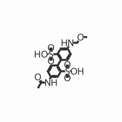 COCNc1ccc(-c2ccc(NC(C)=O)cc2S(=O)(=O)O)c(S(=O)(=O)O)c1